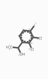 CC(O)c1ccc(I)c(Cl)c1Cl